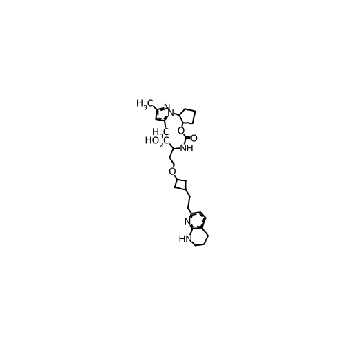 Cc1cc(C)n(C2CCCC2OC(=O)NC(CCOC2CC(CCc3ccc4c(n3)NCCC4)C2)C(=O)O)n1